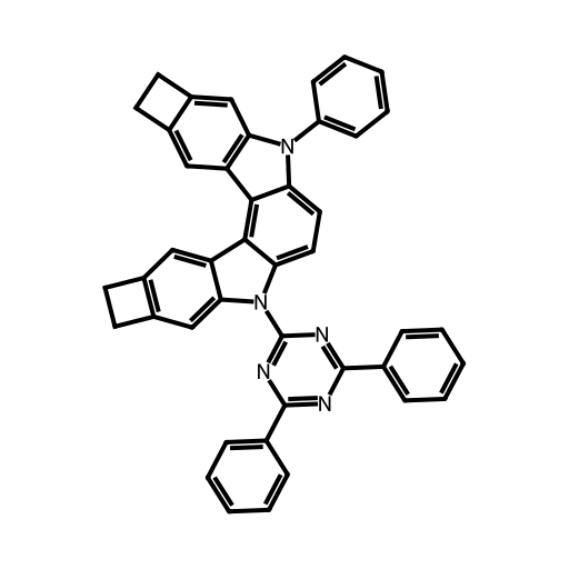 c1ccc(-c2nc(-c3ccccc3)nc(-n3c4cc5c(cc4c4c6c7cc8c(cc7n(-c7ccccc7)c6ccc43)CC8)CC5)n2)cc1